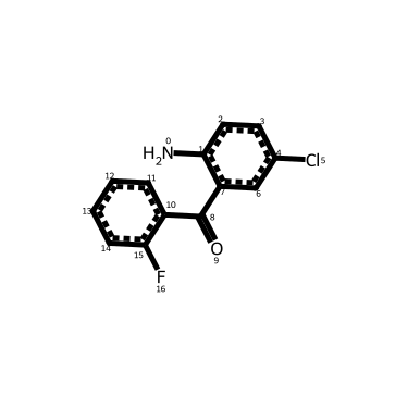 Nc1ccc(Cl)cc1C(=O)c1ccccc1F